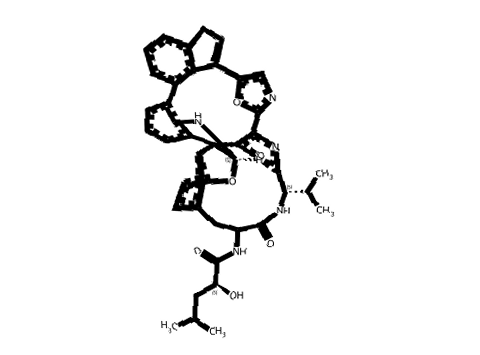 CC(C)C[C@H](O)C(=O)NC1Cc2ccc3c(c2)C24c5cccc(c5N[C@H]2O3)-c2cccc3c2C(=CC3)c2cnc(o2)-c2nc(oc24)[C@H](C(C)C)NC1=O